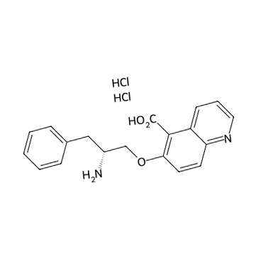 Cl.Cl.N[C@@H](COc1ccc2ncccc2c1C(=O)O)Cc1ccccc1